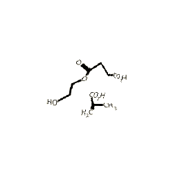 C=C(C)C(=O)O.O=C(O)CCC(=O)OCCO